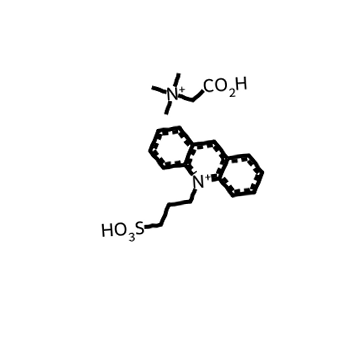 C[N+](C)(C)CC(=O)O.O=S(=O)(O)CCC[n+]1c2ccccc2cc2ccccc21